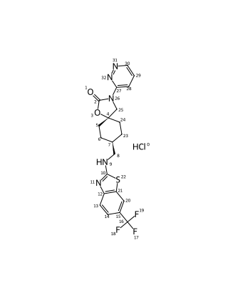 Cl.O=C1O[C@]2(CC[C@H](CNc3nc4ccc(C(F)(F)F)cc4s3)CC2)CN1c1cccnn1